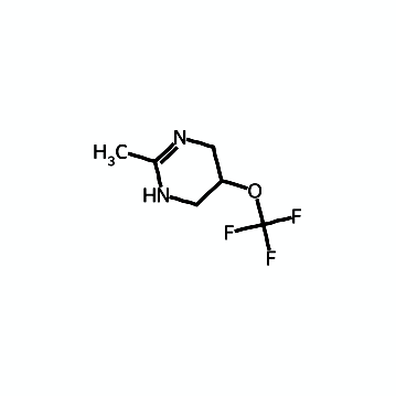 CC1=NCC(OC(F)(F)F)CN1